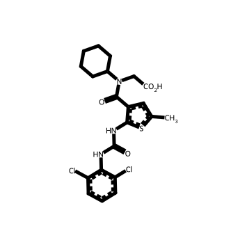 Cc1cc(C(=O)N(CC(=O)O)C2CCCCC2)c(NC(=O)Nc2c(Cl)cccc2Cl)s1